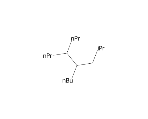 CCCC[C](CC(C)C)C(CCC)CCC